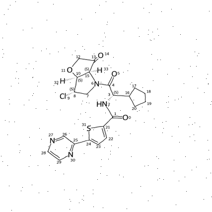 O=C(N[C@H](C(=O)N1C[C@H](Cl)[C@H]2OCC(=O)[C@H]21)C1CCCC1)c1ccc(-c2cnccn2)s1